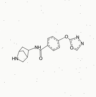 O=C(NC1CC2CC1CN2)c1ccc(Oc2nnco2)cc1